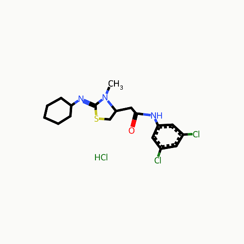 CN1C(=NC2CCCCC2)SCC1CC(=O)Nc1cc(Cl)cc(Cl)c1.Cl